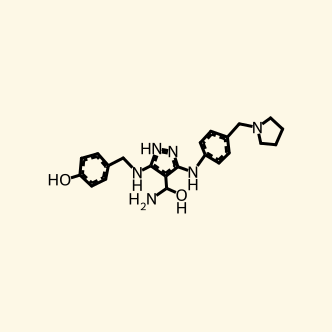 NC(O)c1c(Nc2ccc(CN3CCCC3)cc2)n[nH]c1NCc1ccc(O)cc1